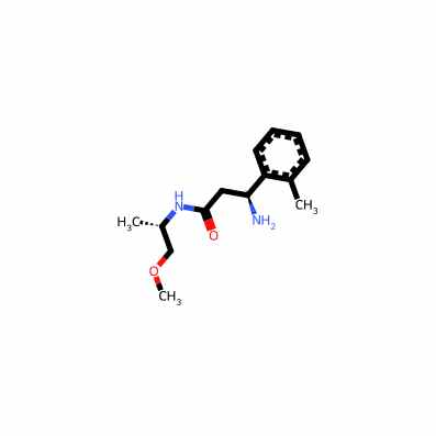 COC[C@H](C)NC(=O)C[C@H](N)c1ccccc1C